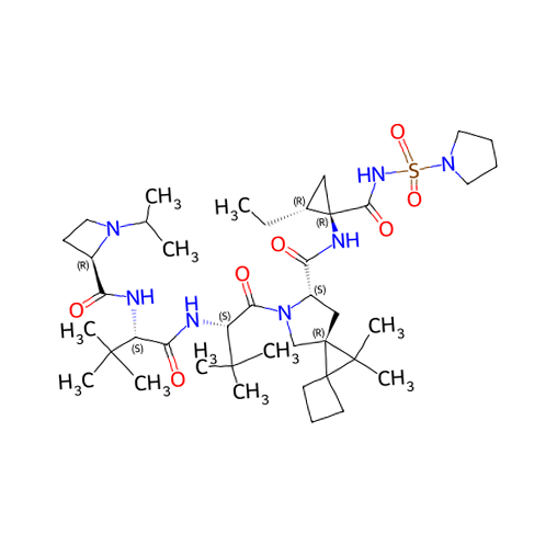 CC[C@@H]1C[C@]1(NC(=O)[C@@H]1C[C@@]2(CN1C(=O)[C@@H](NC(=O)[C@@H](NC(=O)[C@H]1CCN1C(C)C)C(C)(C)C)C(C)(C)C)C(C)(C)C21CCC1)C(=O)NS(=O)(=O)N1CCCC1